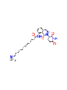 C=NCCCCCCCCCCCC(=O)Nc1cccc2cnn(C3CCC(=O)NC3=O)c(=O)c12